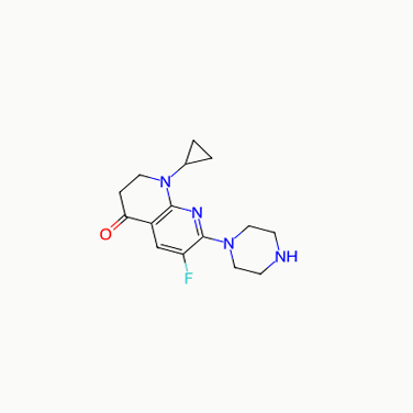 O=C1CCN(C2CC2)c2nc(N3CCNCC3)c(F)cc21